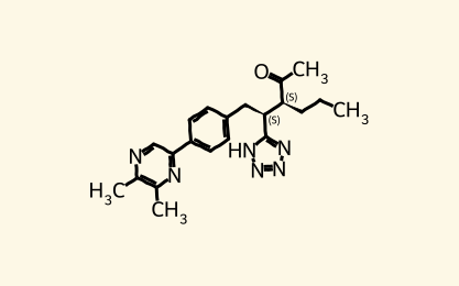 CCC[C@H](C(C)=O)[C@H](Cc1ccc(-c2cnc(C)c(C)n2)cc1)c1nnn[nH]1